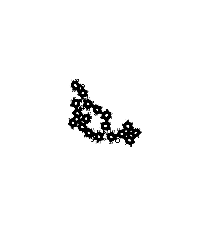 c1ccc(C2(c3ccccc3)c3ccccc3-c3cc4c(cc32)oc2ccc(N(c3ccc(-c5cccc(-c6ccc(-c7ccc(N(c8ccc9sc%10ccccc%10c9c8)c8cccc9c8oc8cc%10c(cc89)-c8ccccc8C%10(c8ccccc8)c8ccccc8)cc7)cc6)c5)cc3)c3ccc5sc6ccccc6c5c3)cc24)cc1